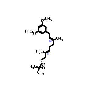 COc1cc(C/C=C(\C)CC/C=C(\C)CC[C@@H]2OC2(C)C)cc(OC)c1